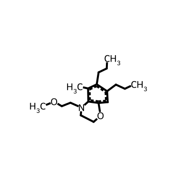 CCCc1cc2c(c(C)c1CCC)N(CCOC)CCO2